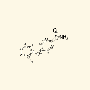 Cc1ccccc1Oc1cnc(C(N)=O)nc1